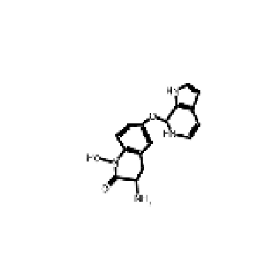 NC1Cc2cc(OC3NC=Cc4cc[nH]c43)ccc2N(O)C1=O